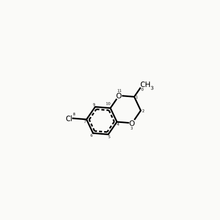 CC1COc2ccc(Cl)cc2O1